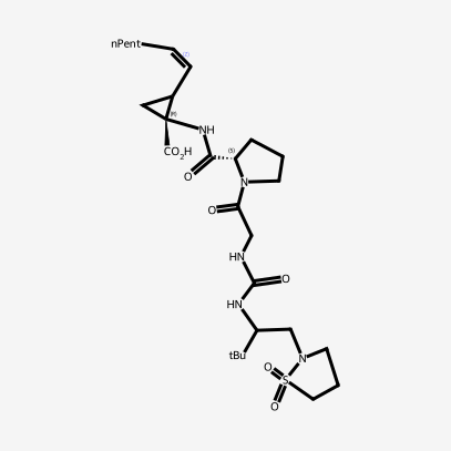 CCCCC/C=C\C1C[C@]1(NC(=O)[C@@H]1CCCN1C(=O)CNC(=O)NC(CN1CCCS1(=O)=O)C(C)(C)C)C(=O)O